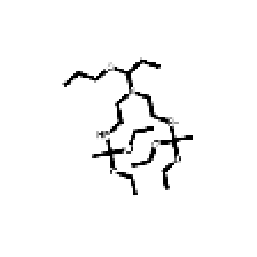 CCCOC(CC)N(CCPC(C)(OCC)OCC)CCPC(C)(OCC)OCC